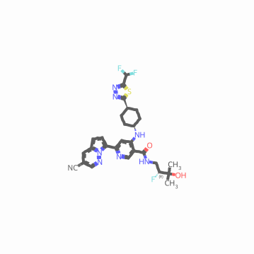 CC(C)(O)[C@H](F)CNC(=O)c1cnc(-c2ccc3cc(C#N)cnn23)cc1N[C@H]1CC[C@H](c2nnc(C(F)F)s2)CC1